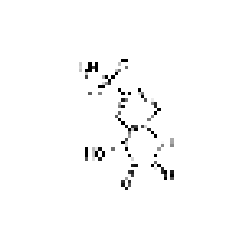 NS(=O)(=O)c1ccc2[nH]c(=O)c(=O)n(O)c2c1